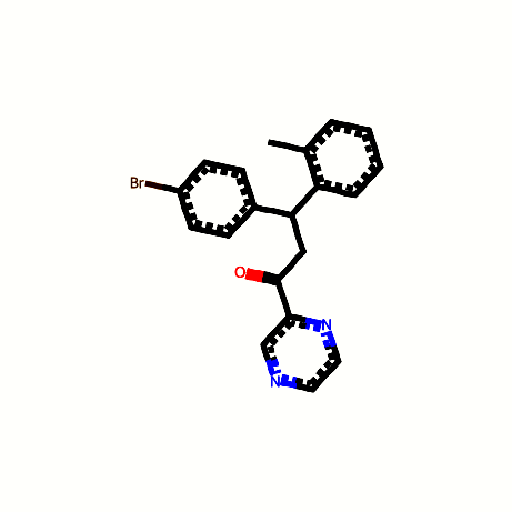 Cc1ccccc1C(CC(=O)c1cnccn1)c1ccc(Br)cc1